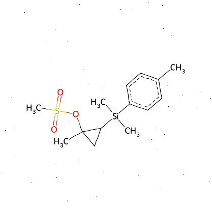 Cc1ccc([Si](C)(C)C2CC2(C)OS(C)(=O)=O)cc1